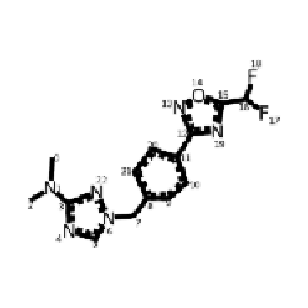 CN(C)c1ncn(Cc2ccc(-c3noc(C(F)F)n3)cc2)n1